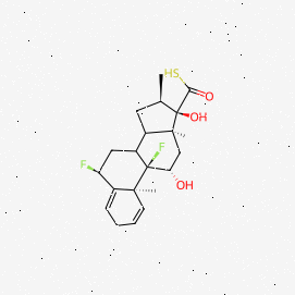 C[C@@H]1CC2C3C[C@H](F)C4=CCC=C[C@]4(C)[C@@]3(F)[C@@H](O)C[C@]2(C)[C@@]1(O)C(=O)S